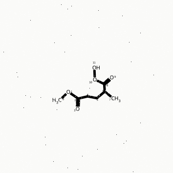 COC(=O)CCC(C)C(=O)OO